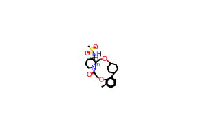 Cc1cccc2c1OCC(=O)N1CCC[C@H](NS(C)(=O)=O)[C@@H]1COC1CCC2CC1